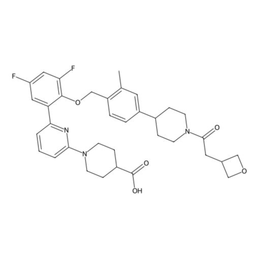 Cc1cc(C2CCN(C(=O)CC3COC3)CC2)ccc1COc1c(F)cc(F)cc1-c1cccc(N2CCC(C(=O)O)CC2)n1